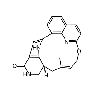 C/C1=C\COc2ccc3cccc(c3n2)-c2cc3c([nH]2)[C@@H](CNC3=O)C1